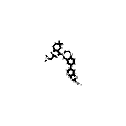 CN(C)Cc1nc2c(c(N3CCOc4ccc(-c5cnc6sc(N)nc6c5)cc4C3)n1)CC(C)(C)CC2